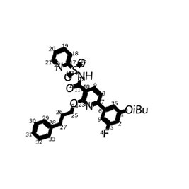 CC(C)COc1cc(F)cc(-c2ccc(C(=O)NS(=O)(=O)c3ccccn3)c(OCCCc3ccccc3)n2)c1